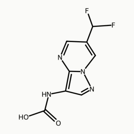 O=C(O)Nc1cnn2cc(C(F)F)cnc12